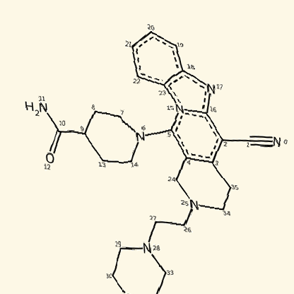 N#Cc1c2c(c(N3CCC(C(N)=O)CC3)n3c1nc1ccccc13)CN(CCN1CCOCC1)CC2